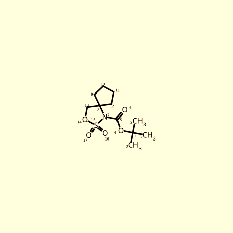 CC(C)(C)OC(=O)N1C2(CCCC2)COS1(=O)=O